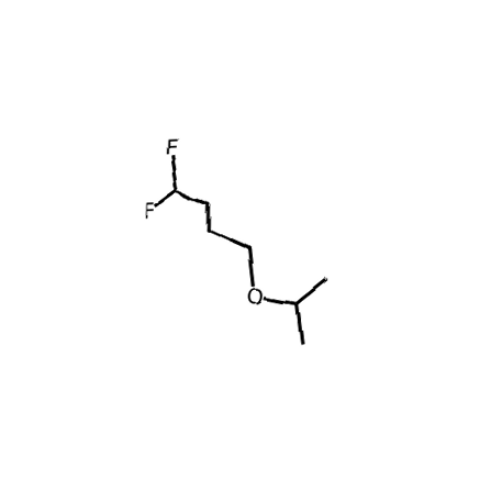 CC(C)OCCCC(F)F